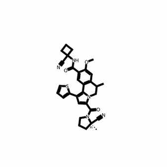 COc1cc2c(cc1C(=O)NC1(C#N)CCC1)-c1c(-c3cccs3)cc(C(=O)N3CCC[C@]3(C)C#N)n1CC2C